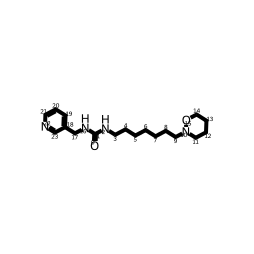 O=C(NCCCCCCCN1CCCCO1)NCc1cccnc1